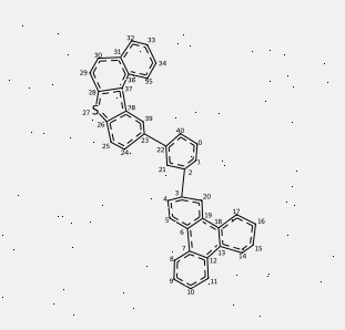 c1cc(-c2ccc3c4ccccc4c4ccccc4c3c2)cc(-c2ccc3sc4ccc5ccccc5c4c3c2)c1